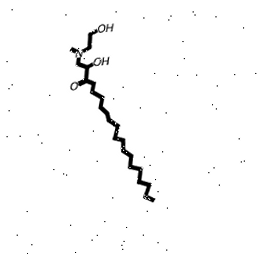 CCCCCCCCCCCCCCCCCC(=O)C(O)CN(C)CCO